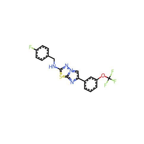 Fc1ccc(CNc2nn3cc(-c4cccc(OC(F)(F)F)c4)nc3s2)cc1